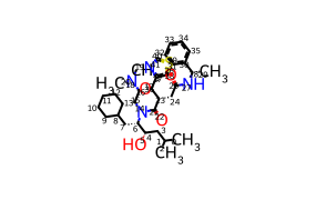 CC(C)C[C@H](O)[C@H](CC1CCCCC1)N(CC(=O)N(C)C)C(=O)[C@@H](CC(=O)N[C@@H](C)c1ccccc1)Cc1cscn1